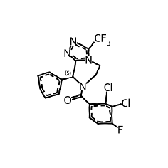 O=C(c1ccc(F)c(Cl)c1Cl)N1CCn2c(nnc2C(F)(F)F)[C@@H]1c1ccccc1